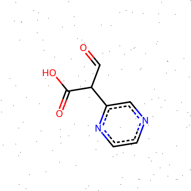 O=CC(C(=O)O)c1cnccn1